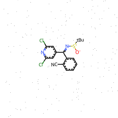 CC(C)(C)[S+]([O-])N=C(c1cc(Cl)nc(Cl)c1)c1ccccc1C#N